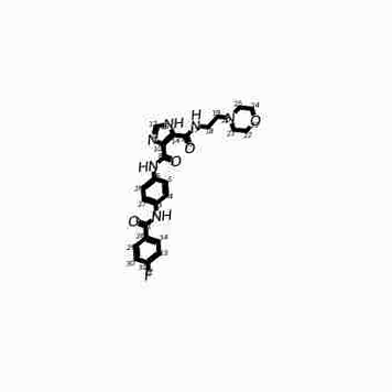 O=C(Nc1ccc(NC(=O)c2nc[nH]c2C(=O)NCCN2CCOCC2)cc1)c1ccc(F)cc1